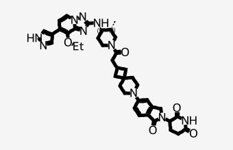 CCOc1c(-c2cn[nH]c2)ccn2nc(N[C@H]3CCN(C(=O)CC4CC5(CCN(c6ccc7c(c6)CN(C6CCC(=O)NC6=O)C7=O)CC5)C4)C[C@H]3C)nc12